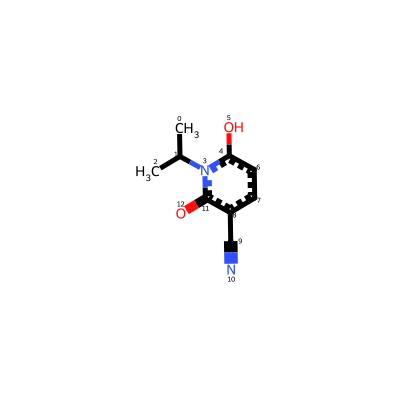 CC(C)n1c(O)ccc(C#N)c1=O